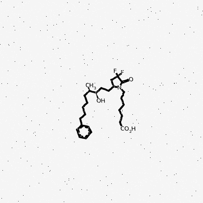 C[C@H](CCCCCc1ccccc1)[C@H](O)CCC1CC(F)(F)C(=O)N1CCCCCCC(=O)O